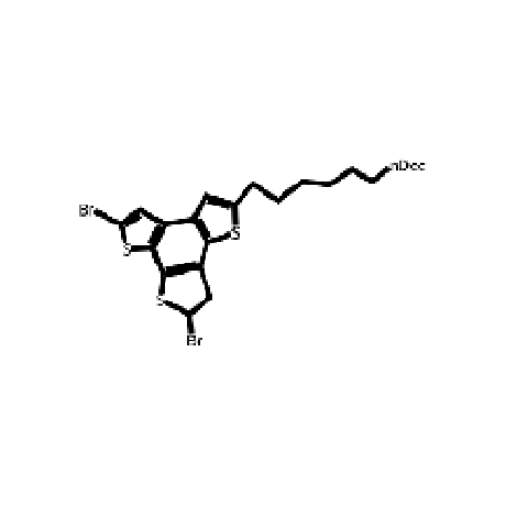 CCCCCCCCCCCCCCCCc1cc2c(s1)c1c(c3sc(Br)cc32)SC(Br)C1